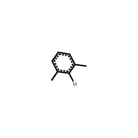 [Li][c]1c(C)cccc1C